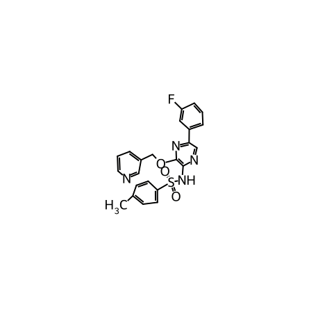 Cc1ccc(S(=O)(=O)Nc2ncc(-c3cccc(F)c3)nc2OCc2cccnc2)cc1